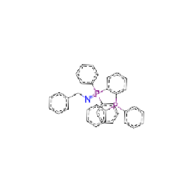 c1ccc(CN=P(c2ccccc2)(c2ccccc2)c2ccccc2P(c2ccccc2)c2ccccc2)cc1